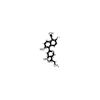 C#Cc1c(F)ccc2c(-c3cc4[nH]nc(CC)c4cn3)c(O)ccc12